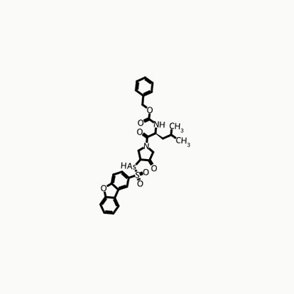 CC(C)C[C@H](NC(=O)OCc1ccccc1)C(=O)N1CC(=O)C([AsH]S(=O)(=O)c2ccc3oc4ccccc4c3c2)C1